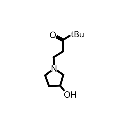 CC(C)(C)C(=O)CCN1CCC(O)C1